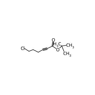 CC(C)(C)OC(=O)C#CCCCCl